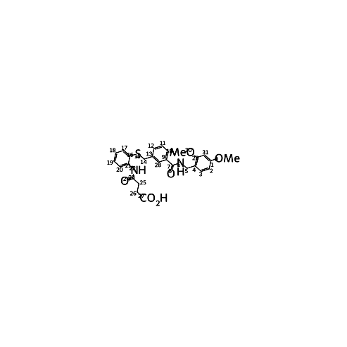 COc1ccc(CNC(=O)c2cccc(CSc3ccccc3NC(=O)CCC(=O)O)c2)c(OC)c1